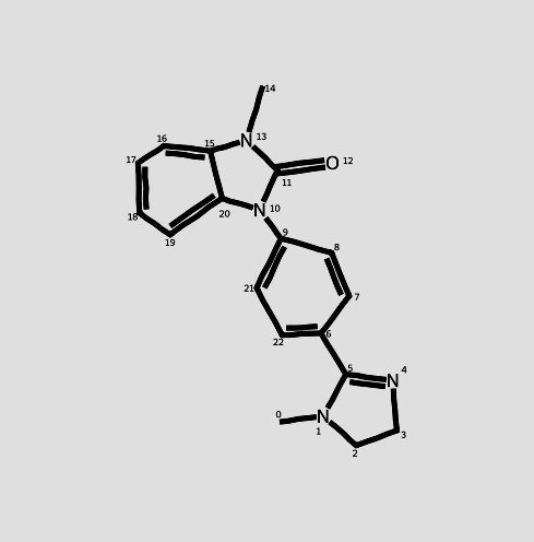 CN1CCN=C1c1ccc(-n2c(=O)n(C)c3ccccc32)cc1